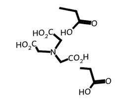 CCC(=O)O.CCC(=O)O.O=C(O)CN(CC(=O)O)CC(=O)O